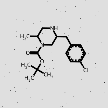 CC1CNC(Cc2ccc(Cl)cc2)CN1C(=O)OC(C)(C)C